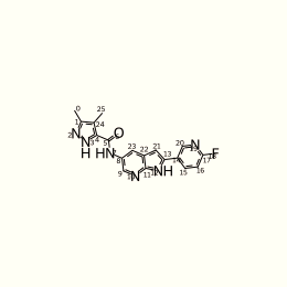 Cc1n[nH]c(C(=O)Nc2cnc3[nH]c(-c4ccc(F)nc4)cc3c2)c1C